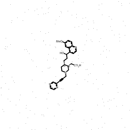 COc1ccc2nccc(C(O)CC[C@@H]3CCN(CC#Cc4cnccn4)C[C@@H]3CC(=O)O)c2c1